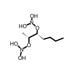 CCCC[C@@H](ON(O)O)[C@@H](C)ON(O)O